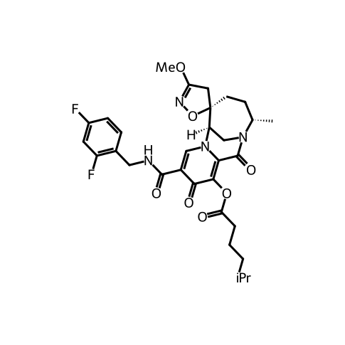 COC1=NO[C@@]2(CC[C@H](C)N3C[C@H]2n2cc(C(=O)NCc4ccc(F)cc4F)c(=O)c(OC(=O)CCCC(C)C)c2C3=O)C1